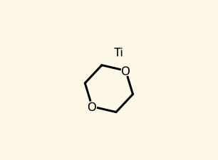 C1COCCO1.[Ti]